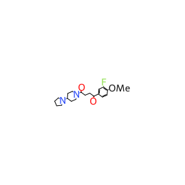 COc1ccc(C(=O)CCC(=O)N2CCC(N3CCCC3)CC2)cc1F